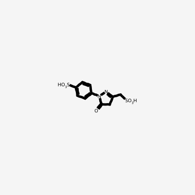 O=C1CC(CS(=O)(=O)O)=NN1c1ccc(S(=O)(=O)O)cc1